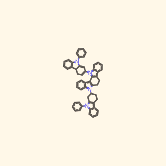 C1=C2C(CC=C1n1c3c(c4ccccc41)CCc1c-3c3ccccc3n1C1CCc3c(n(-c4ccccc4)c4ccccc34)C1)c1ccccc1N2c1ccccc1